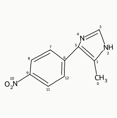 Cc1[nH]cnc1-c1ccc([N+](=O)[O-])cc1